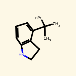 CCCC(C)(C)c1cccc2c1CCN2